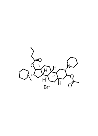 CCCC(=O)O[C@@H]1[C@@H]([N+]2(C)CCCCC2)C[C@H]2[C@@H]3CC[C@H]4C[C@H](OC(C)=O)[C@@H](N5CCCCC5)C[C@]4(C)[C@H]3CC[C@]12C.[Br-]